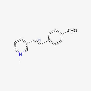 C[n+]1cccc(/C=C/c2ccc(C=O)cc2)c1